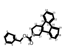 O=C(OCc1ccccc1)N1CCc2c(c3ccccc3c3ccccc23)C1